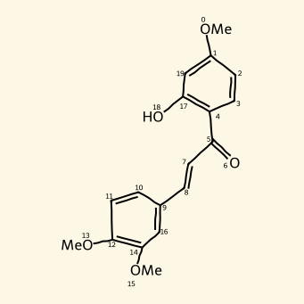 COc1ccc(C(=O)C=Cc2ccc(OC)c(OC)c2)c(O)c1